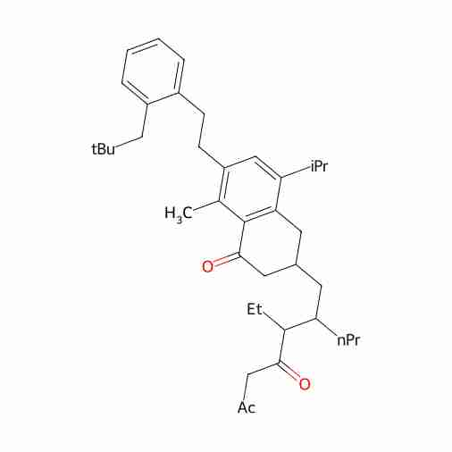 CCCC(CC1CC(=O)c2c(C)c(CCc3ccccc3CC(C)(C)C)cc(C(C)C)c2C1)C(CC)C(=O)CC(C)=O